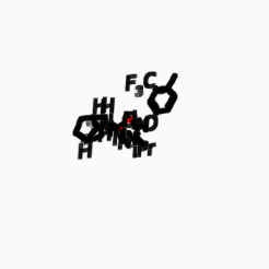 Cc1noc(N2C[C@H]3CC[C@@H](C2)[C@H]3Nc2nc(Oc3ccc(C)c(C(F)(F)F)c3)n(C(C)C)n2)n1